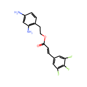 Nc1ccc(CCOC(=O)/C=C/c2cc(F)c(F)c(F)c2)c(N)c1